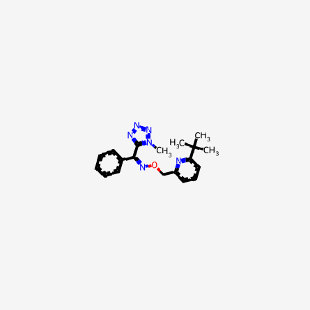 Cn1nnnc1C(=NOCc1cccc(C(C)(C)C)n1)c1ccccc1